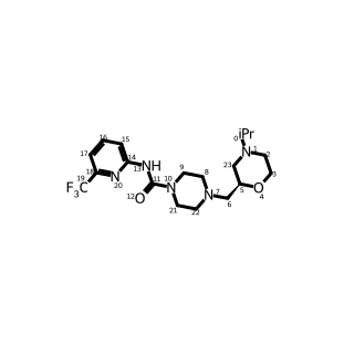 CC(C)N1CCO[C@@H](CN2CCN(C(=O)Nc3cccc(C(F)(F)F)n3)CC2)C1